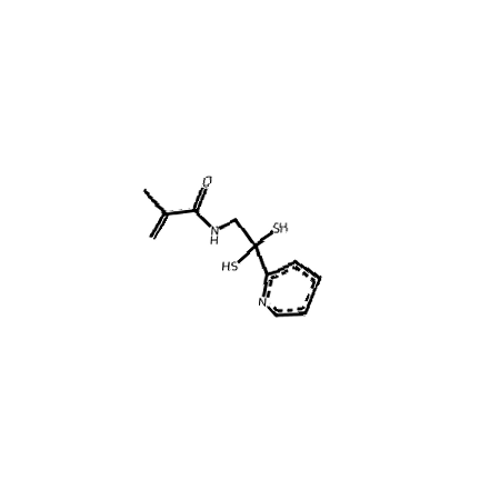 C=C(C)C(=O)NCC(S)(S)c1ccccn1